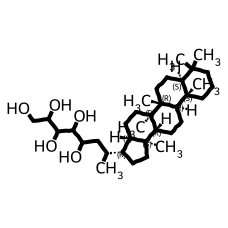 CC(CC(O)C(O)C(O)C(O)CO)[C@H]1CC[C@]2(C)[C@H]3CC[C@@H]4[C@@]5(C)CCCC(C)(C)[C@@H]5CC[C@@]4(C)[C@]3(C)CC[C@@H]12